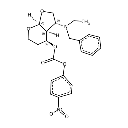 CCN(Cc1ccccc1)[C@H]1CO[C@@H]2OCC[C@H](OC(=O)Oc3ccc([N+](=O)[O-])cc3)[C@@H]21